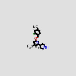 N#Cc1ccc(COc2cc(C(F)(F)F)cc(C3CCNCC3)n2)c(F)c1